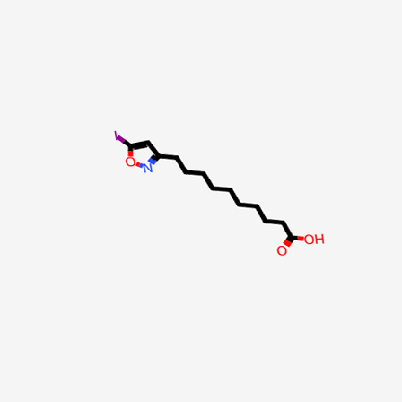 O=C(O)CCCCCCCCCc1cc(I)on1